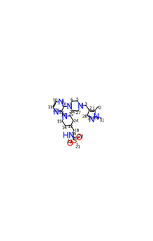 Cc1c(CN2CCN(c3nccnc3N3CCC(CNS(C)(=O)=O)CC3)CC2)cnn1C